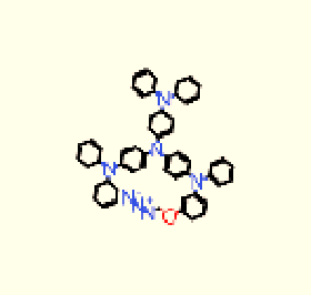 [N-]=[N+]=NCOC1=CC(N(c2ccccc2)c2ccc(N(C3=CCC(N(c4ccccc4)C4C=CC=CC4)CC3)c3ccc(N(C4C=CC=CC4)C4C=CC=CC4)cc3)cc2)=CCC1